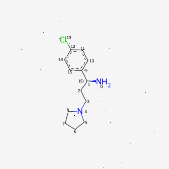 N[C@@H](CCN1CCCC1)c1ccc(Cl)cc1